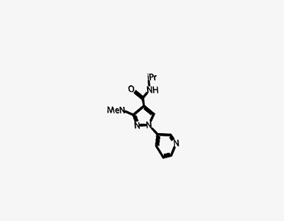 CNc1nn(-c2cccnc2)cc1C(=O)NC(C)C